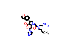 CCCCN(CCN)C(=O)CN1C[C@H](c2ccc3c(c2)CCO3)[C@@H](C(=O)O)[C@@H]1CCn1ccnc1